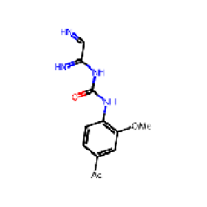 COc1cc(C(C)=O)ccc1NC(=O)NC(=N)C=N